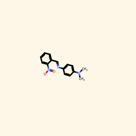 CN(C)c1ccc(N=Cc2ccccc2[N+](=O)[O-])cc1